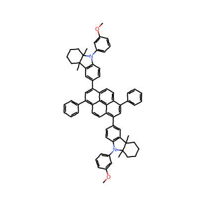 COc1cccc(N2c3ccc(-c4cc(-c5ccccc5)c5ccc6c(-c7ccc8c(c7)C7(C)CCCCC7(C)N8c7cccc(OC)c7)cc(-c7ccccc7)c7ccc4c5c76)cc3C3(C)CCCCC23C)c1